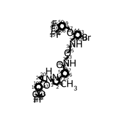 Cc1ccc(NC(=O)C2(c3ccc4c(c3)OC(F)(F)O4)CC2)nc1-c1cccc(C(=O)NCCOCCNCc2cc(Br)ccc2OCc2ccc(F)c(C(F)(F)F)c2)c1